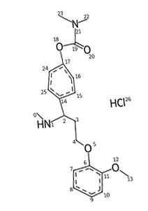 CNC(CCOc1ccccc1OC)c1ccc(OC(=O)N(C)C)cc1.Cl